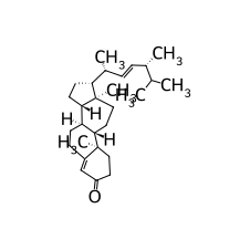 CC(C)[C@@H](C)/C=C/[C@@H](C)[C@H]1CC[C@H]2[C@@H]3CCC4=CC(=O)CC[C@]4(C)[C@H]3CC[C@]12C